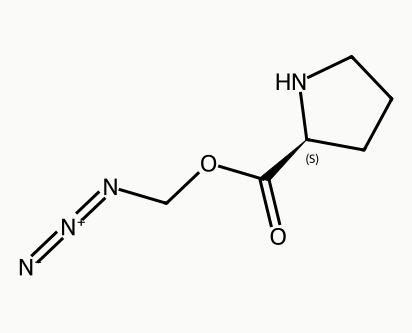 [N-]=[N+]=NCOC(=O)[C@@H]1CCCN1